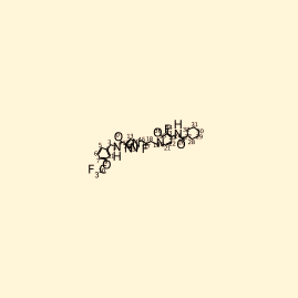 O=C(NCc1cccc(OC(F)(F)F)c1)c1cn(CC(F)CCn2ccc(NC(=O)C3CCCCC3)c(F)c2=O)nn1